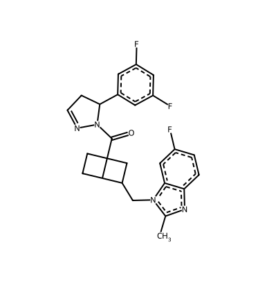 Cc1nc2ccc(F)cc2n1CC1CC2(C(=O)N3N=CCC3c3cc(F)cc(F)c3)CCC12